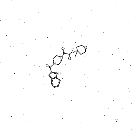 CC1(NC(=O)C(=O)N2CCN(C(=O)c3cc4ccccc4[nH]3)CC2)CCOCC1